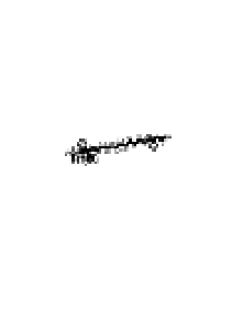 CC=CC(=O)OCCCCCCCCCCCCC(C(=O)O)C(=O)O